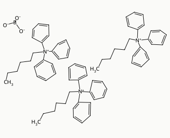 CCCCCC[N+](c1ccccc1)(c1ccccc1)c1ccccc1.CCCCCC[N+](c1ccccc1)(c1ccccc1)c1ccccc1.CCCCCC[N+](c1ccccc1)(c1ccccc1)c1ccccc1.[O-]B([O-])[O-]